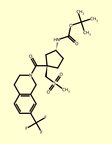 CC(C)(C)OC(=O)N[C@@H]1CC[C@](CS(C)(=O)=O)(C(=O)N2CCc3ccc(C(F)(F)F)cc3C2)C1